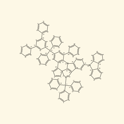 C1=CC23CC(S(c4ccccc4)(c4ccccc4)c4ccccc4)=Cc4c2n(c2ccc(-n5c6ccccc6c6ccccc65)cc42)-c2c(cc(S(c4ccccc4)(c4ccccc4)c4cc(-c5ccccc5)cc(-c5ccccc5)c4)cc2-c2ccccc2)C3=C1